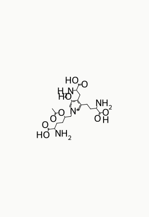 CC(=O)OC(CCC(N)C(=O)O)C[n+]1cc(O)c(CC(N)C(=O)O)c(CCC(N)C(=O)O)c1